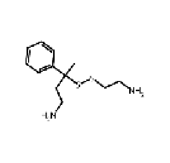 CC(CCN)(SSCCN)c1ccccc1